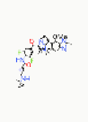 COc1c(-c2cccn3c(C(=O)c4cc(F)c(NC(=O)/C=C/CNC5(C)CC5)c(F)c4)c(C)nc23)c(C(F)(F)F)cc2c1nc(C)n2C